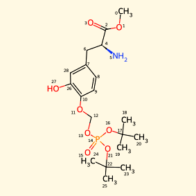 COC(=O)[C@@H](N)Cc1ccc(OCOP(=O)(OC(C)(C)C)OC(C)(C)C)c(O)c1